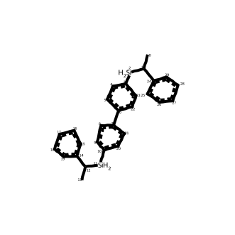 CC([SiH2]c1ccc(-c2ccc([SiH2]C(C)c3ccccc3)cc2)cc1)c1ccccc1